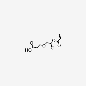 C=CC(=O)OC(Cl)COCCC(=O)O